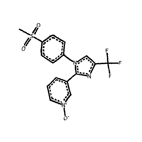 CS(=O)(=O)c1ccc(-n2cc(C(F)(F)F)nc2-c2ccc[n+]([O-])c2)cc1